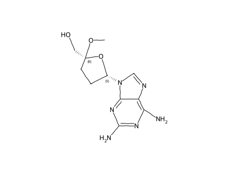 CO[C@]1(CO)CC[C@@H](n2cnc3c(N)nc(N)nc32)O1